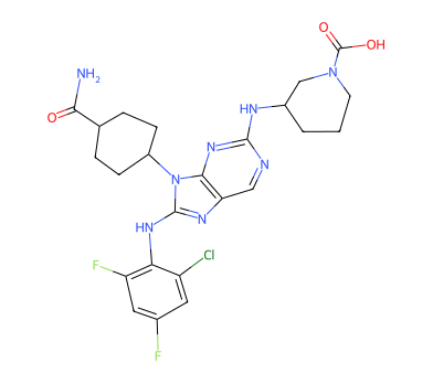 NC(=O)C1CCC(n2c(Nc3c(F)cc(F)cc3Cl)nc3cnc(NC4CCCN(C(=O)O)C4)nc32)CC1